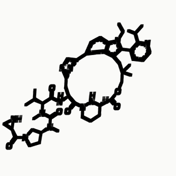 CCn1c(-c2cccnc2C(C)C)c2c3cc(ccc31)-c1csc(n1)C[C@H](NC(=O)[C@H](C(C)C)N(C)C(=O)N(C)[C@H]1CCN(C(=O)[C@H]3CN3)C1)C(=O)N1CCC[C@H](N1)C(=O)OCC(C)(C)C2